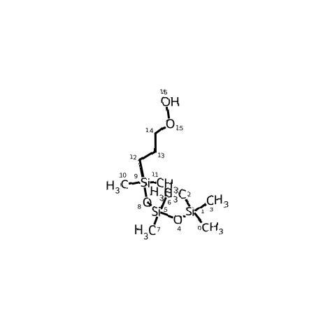 C[Si](C)(C)O[Si](C)(C)O[Si](C)(C)CCCOO